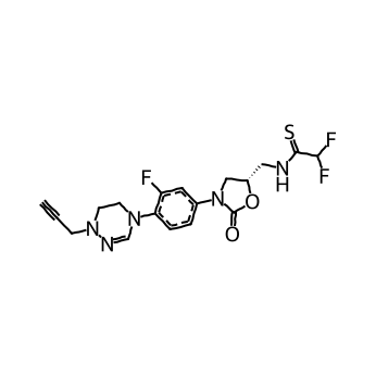 C#CCN1CCN(c2ccc(N3C[C@H](CNC(=S)C(F)F)OC3=O)cc2F)C=N1